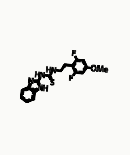 COc1cc(F)c(CCNC(=S)Nc2nc3ccccc3[nH]2)c(F)c1